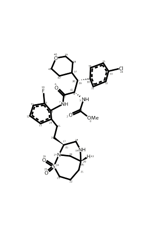 COC(=O)N[C@H](C(=O)Nc1c(F)cccc1CC[C@H]1CN[C@@H]2CCCS(=O)(=O)N1C2)[C@@H](c1ccc(Cl)cc1)C1CCOCC1